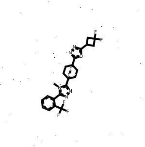 Cn1c(-c2ccccc2C(F)(F)F)nnc1C12CCC(c3nnc(C4CC(F)(F)C4)o3)(CC1)CC2